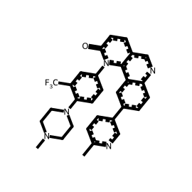 Cc1ccc(-c2ccc3ncc4ccc(=O)n(-c5ccc(N6CCN(C)CC6)c(C(F)(F)F)c5)c4c3c2)cn1